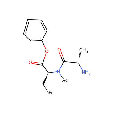 CC(=O)N(C(=O)[C@H](C)N)[C@@H](CC(C)C)C(=O)Oc1ccccc1